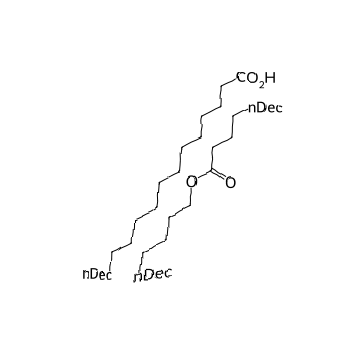 CCCCCCCCCCCCCCCCCCCCCC(=O)O.CCCCCCCCCCCCCCOC(=O)CCCCCCCCCCCCC